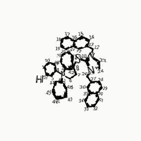 I.c1ccc([PH](CCCSc2n(Cc3ccc4ccccc4c3)cc[n+]2Cc2ccc3ccccc3c2)(c2ccccc2)c2ccccc2)cc1